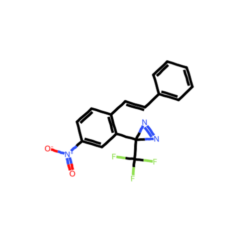 O=[N+]([O-])c1ccc(C=Cc2ccccc2)c(C2(C(F)(F)F)N=N2)c1